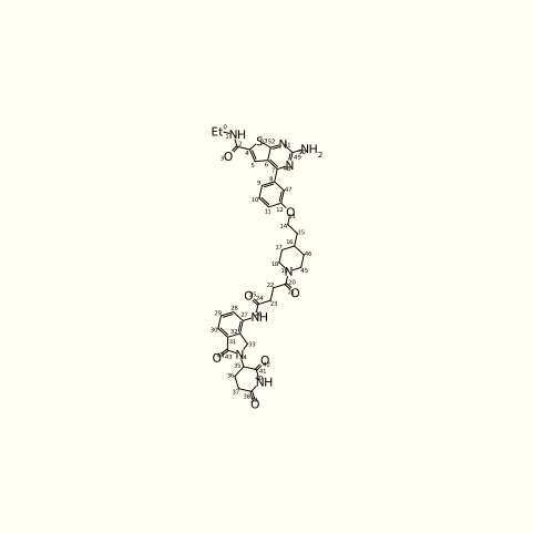 CCNC(=O)c1cc2c(-c3cccc(OCCC4CCN(C(=O)CCC(=O)Nc5cccc6c5CN(C5CCC(=O)NC5=O)C6=O)CC4)c3)nc(N)nc2s1